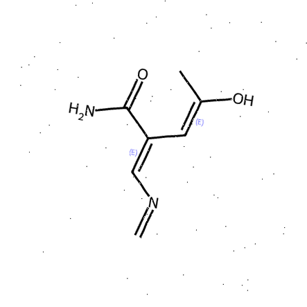 C=N/C=C(\C=C(/C)O)C(N)=O